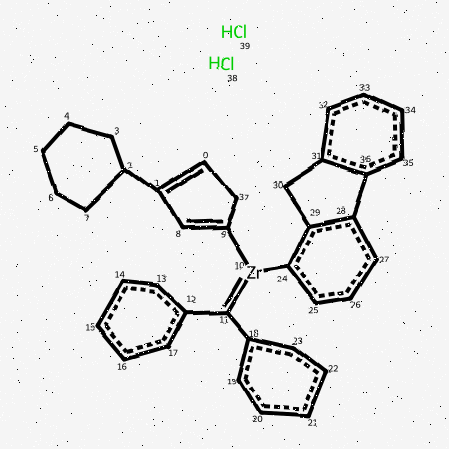 C1=C(C2CCCCC2)C=[C]([Zr](=[C](c2ccccc2)c2ccccc2)[c]2cccc3c2Cc2ccccc2-3)C1.Cl.Cl